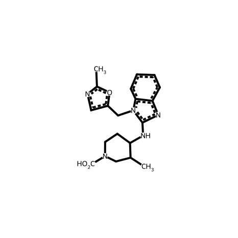 Cc1ncc(Cn2c(NC3CCN(C(=O)O)CC3C)nc3ccccc32)o1